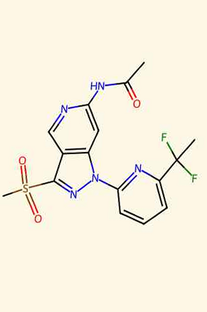 CC(=O)Nc1cc2c(cn1)c(S(C)(=O)=O)nn2-c1cccc(C(C)(F)F)n1